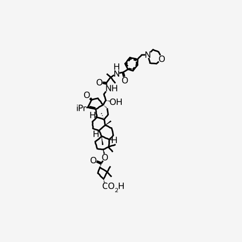 CC(C)C1=C2[C@H]3CC[C@@H]4[C@@]5(C)CC[C@H](OC(=O)[C@H]6C[C@@H](C(=O)O)C6(C)C)C(C)(C)[C@@H]5CC[C@@]4(C)[C@]3(C)CC[C@@]2([C@@H](O)CNC(=O)C(C)(C)NC(=O)c2ccc(CN3CCOCC3)cc2)CC1=O